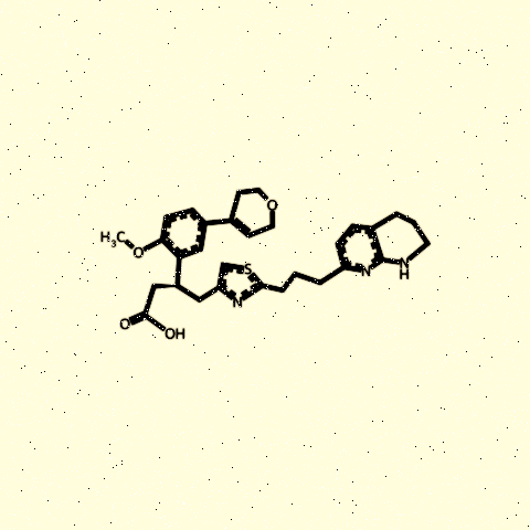 COc1ccc(C2=CCOCC2)cc1[C@H](CC(=O)O)Cc1csc(CCCc2ccc3c(n2)NCCC3)n1